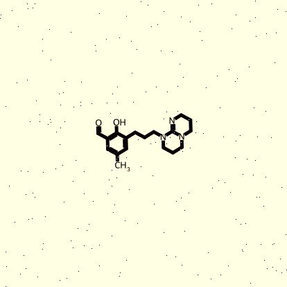 Cc1cc(C=O)c(O)c(CCCN2CCCN3CCCN=C32)c1